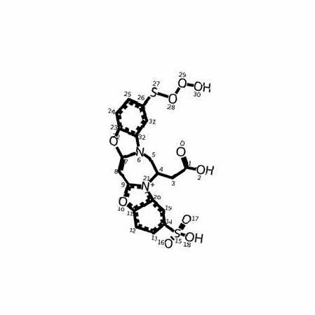 O=C(O)CC1CN2C(=Cc3oc4ccc(S(=O)(=O)O)cc4[n+]31)Oc1ccc(SOOO)cc12